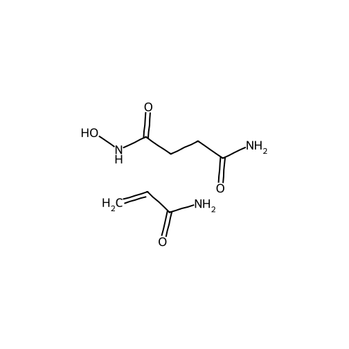 C=CC(N)=O.NC(=O)CCC(=O)NO